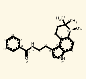 CC1(C)CCc2c(ccc3[nH]cc(CCNC(=O)c4ccccc4)c23)[S+]1[O-]